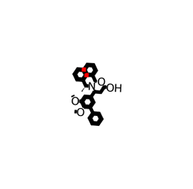 COc1cc(C(CC(=O)O)N(Cc2ccccc2)[C@H](C)c2ccccc2)cc(-c2ccccc2)c1OC